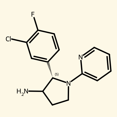 NC1CCN(c2ccccn2)[C@H]1c1ccc(F)c(Cl)c1